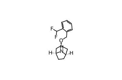 FC(F)c1ccccc1CO[C@H]1C[C@H]2CC[C@@H](C1)N2